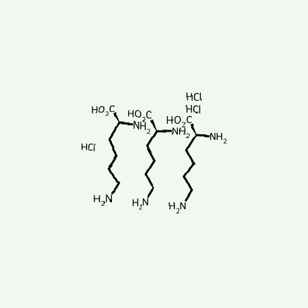 Cl.Cl.Cl.NCCCC[C@H](N)C(=O)O.NCCCC[C@H](N)C(=O)O.NCCCC[C@H](N)C(=O)O